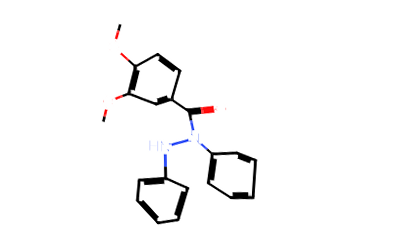 COc1ccc(C(=O)N(Nc2ccccc2)c2ccccc2)cc1OC